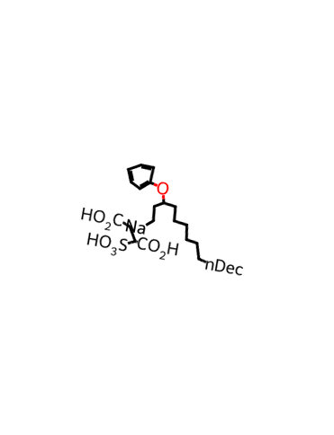 CCCCCCCCCCCCCCCCC(C[CH2][Na])Oc1ccccc1.O=C(O)CC(C(=O)O)S(=O)(=O)O